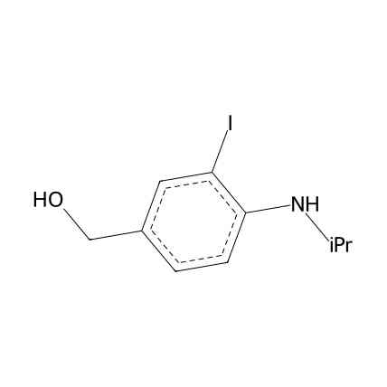 CC(C)Nc1ccc(CO)cc1I